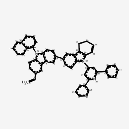 C=Cc1ccc2c(c1)c1cc(-c3ccc4c(c3)c3c(n4-c4cc(-c5ccccc5)nc(-c5ccccc5)c4)C=CCC3)ccc1n2-c1cccc2ccccc12